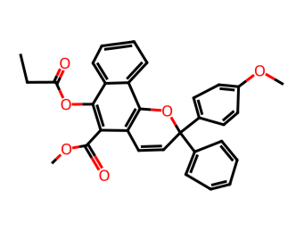 CCC(=O)Oc1c(C(=O)OC)c2c(c3ccccc13)OC(c1ccccc1)(c1ccc(OC)cc1)C=C2